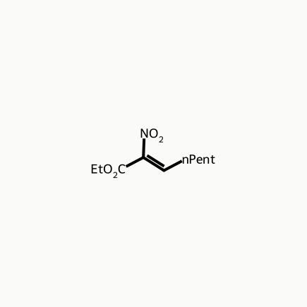 CCCCC/C=C(/C(=O)OCC)[N+](=O)[O-]